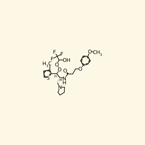 COc1ccc(OCCC(=O)N[C@H](CN2CCCC2)[C@H](OOC(O)C(F)(F)F)c2sccc2C)cc1